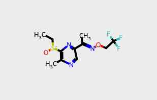 CC[S+]([O-])c1nc(/C(C)=N/OCC(F)(F)F)cnc1C